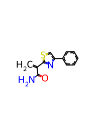 C=C(C(N)=O)c1nc(-c2ccccc2)cs1